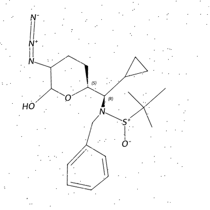 CC(C)(C)[S+]([O-])N(Cc1ccccc1)[C@H](C1CC1)[C@@H]1CCC(N=[N+]=[N-])C(O)O1